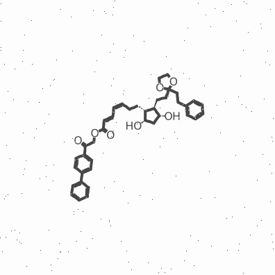 O=C(C=C/C=C\CC[C@@H]1[C@@H](CCC2(CCc3ccccc3)OCCO2)[C@H](O)C[C@@H]1O)OCC(=O)c1ccc(-c2ccccc2)cc1